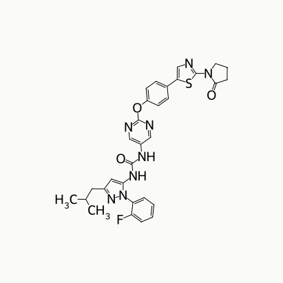 CC(C)Cc1cc(NC(=O)Nc2cnc(Oc3ccc(-c4cnc(N5CCCC5=O)s4)cc3)nc2)n(-c2ccccc2F)n1